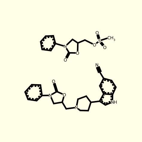 CS(=O)(=O)OCC1CN(c2ccccc2)C(=O)O1.N#Cc1ccc2[nH]cc(C3CCN(CC4CN(c5ccccc5)C(=O)O4)CC3)c2c1